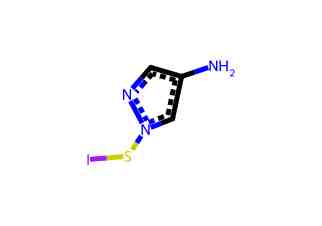 Nc1cnn(SI)c1